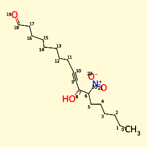 CCCCCCC(C(O)C#CCCCCCCCC=O)[N+](=O)[O-]